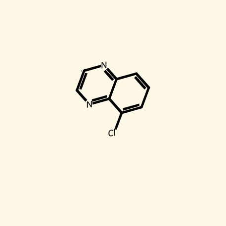 Clc1cccc2n[c]cnc12